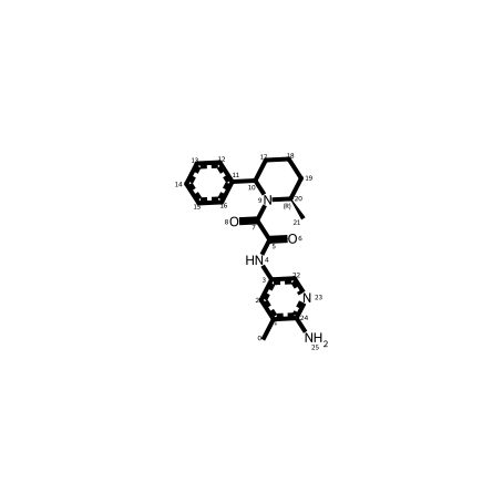 Cc1cc(NC(=O)C(=O)N2C(c3ccccc3)CCC[C@H]2C)cnc1N